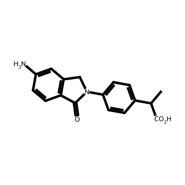 CC(C(=O)O)c1ccc(N2Cc3cc(N)ccc3C2=O)cc1